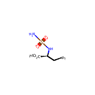 CC(C)C[C@H](NS(N)(=O)=O)C(=O)O